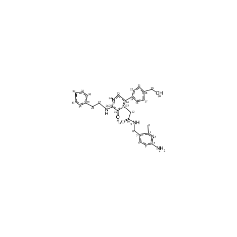 Cc1nc(N)ccc1CNC(=O)Cn1c(-c2ccc(CO)cc2)cnc(NCCc2ccccc2)c1=O